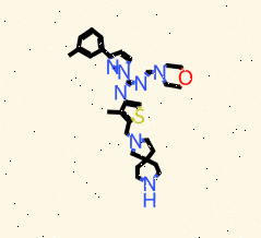 Cc1cccc(-c2ccn(C(/N=C/N3CCOCC3)=N/c3csc(CN4CCC5(CCNCC5)C4)c3C)n2)c1